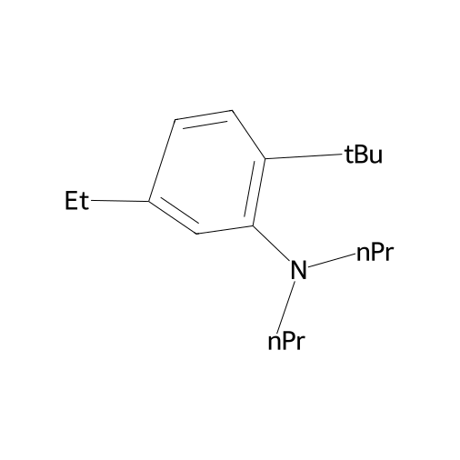 CCCN(CCC)c1cc(CC)ccc1C(C)(C)C